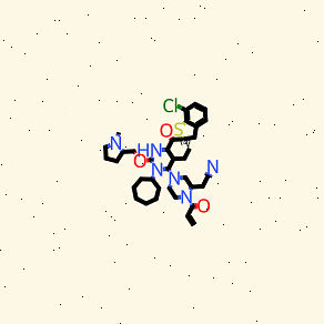 C=CC(=O)N1CCN(C2C3CC[C@]4(Cc5cccc(Cl)c5S4)C(=O)C3NC(OCC3CCCN3C)N2C2CCCCCC2)CC1CC#N